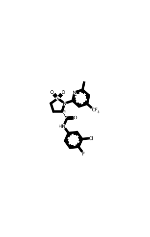 Cc1cc(C(F)(F)F)cc(N2[C@H](C(=O)Nc3ccc(F)c(Cl)c3)CCS2(=O)=O)n1